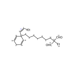 CC/C=C\C1(CCCCCCCC(C=O)(C=O)CC)C=CCC=C1